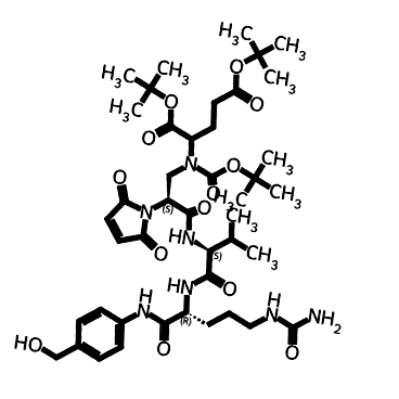 CC(C)[C@H](NC(=O)[C@H](CN(C(=O)OC(C)(C)C)C(CCC(=O)OC(C)(C)C)C(=O)OC(C)(C)C)N1C(=O)C=CC1=O)C(=O)N[C@H](CCCNC(N)=O)C(=O)Nc1ccc(CO)cc1